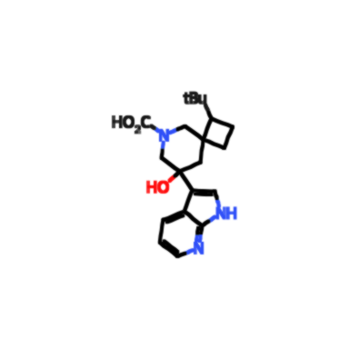 CC(C)(C)C1CCC12CN(C(=O)O)CC(O)(c1c[nH]c3ncccc13)C2